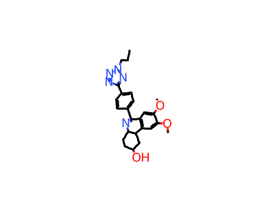 CCCn1nnc(-c2ccc(C3=NC4CCC(O)CC4c4cc(OC)c(OC)cc43)cc2)n1